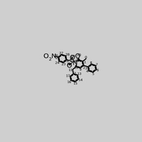 Cc1c(-c2ccccc2)cc(Cc2ccccc2)n(S(=O)(=O)c2ccc([N+](=O)[O-])cc2)c1=O